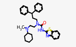 CN(CCN(CCC(c1ccccc1)c1ccccc1)C(=O)Nc1nc2ccccc2s1)C1CCCCC1